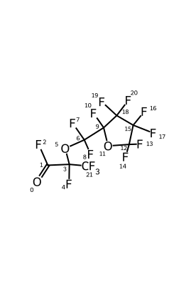 O=C(F)C(F)(OC(F)(F)C1(F)OC(F)(F)C(F)(F)C1(F)F)C(F)(F)F